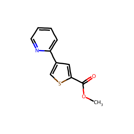 COC(=O)c1cc(-c2ccccn2)cs1